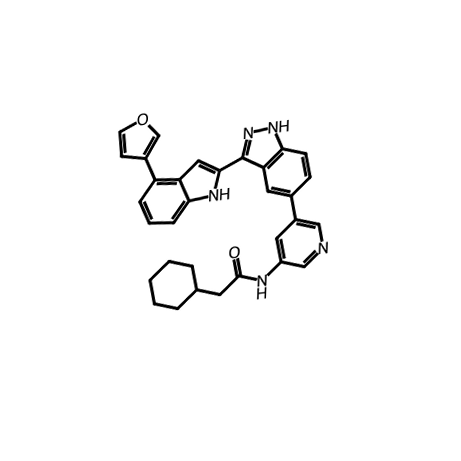 O=C(CC1CCCCC1)Nc1cncc(-c2ccc3[nH]nc(-c4cc5c(-c6ccoc6)cccc5[nH]4)c3c2)c1